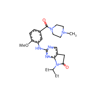 CCC(CC)N1C(=O)Cc2cnc(Nc3cc(C(=O)N4CCN(C)CC4)ccc3OC)nc21